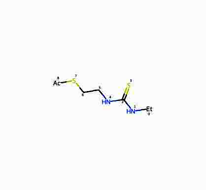 CCNC(=S)NCCSC(C)=O